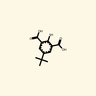 CC(C)(C)c1cc(C(=O)O)c(S)c(C(=O)O)c1